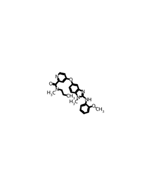 CCCN(C)C(=O)c1cc(Oc2ccc3c(c2)nc(Nc2ccccc2OC)n3C)ccn1